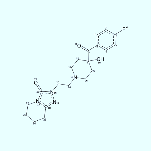 O=C(c1ccc(F)cc1)C1(O)CCN(CCn2nc3n(c2=O)CCCC3)CC1